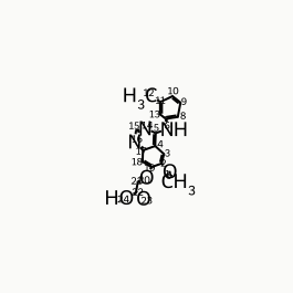 COc1cc2c(Nc3cccc(C)c3)ncnc2cc1OCC(=O)O